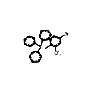 FC(F)(F)c1cc(Br)ccc1C[PH](c1ccccc1)(c1ccccc1)c1ccccc1